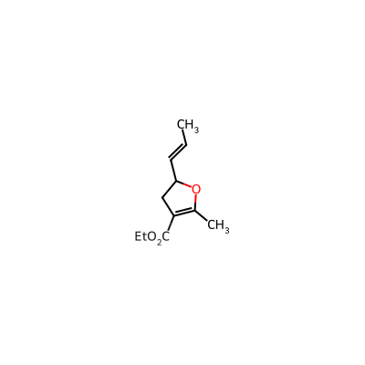 CC=CC1CC(C(=O)OCC)=C(C)O1